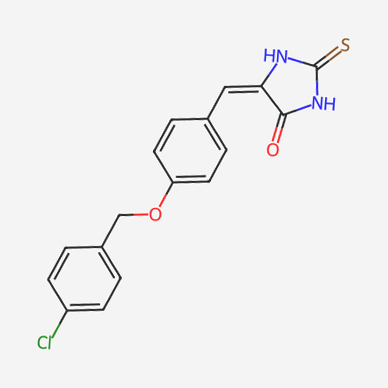 O=C1NC(=S)NC1=Cc1ccc(OCc2ccc(Cl)cc2)cc1